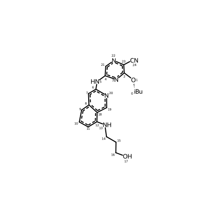 CC[C@@H](C)Oc1nc(Nc2cc3cccc(NCCCO)c3cn2)cnc1C#N